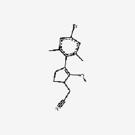 COC1=C(c2c(C)cc(Br)cc2C)CCC1CC#N